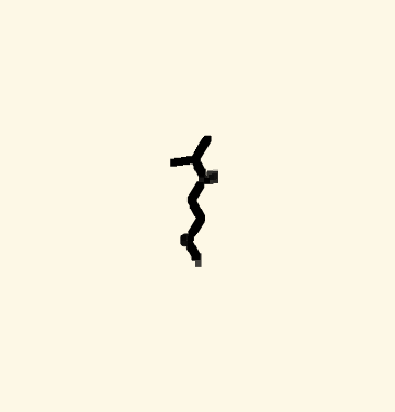 CC(C)NCCOI